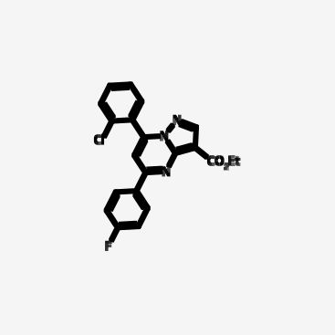 CCOC(=O)c1cnn2c(-c3ccccc3Cl)cc(-c3ccc(F)cc3)nc12